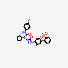 CS(=O)(=O)c1ccccc1-c1ccc(NC(=O)CN(C(=O)Nc2ccc(Cl)cc2)C2CCCC2)c(F)c1